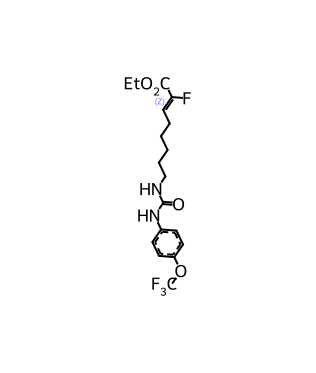 CCOC(=O)/C(F)=C/CCCCCNC(=O)Nc1ccc(OC(F)(F)F)cc1